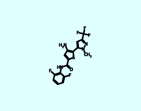 Cn1nc(C(F)(F)F)cc1-c1sc(C(=O)Nc2c(F)cccc2F)cc1N